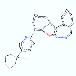 BC1(c2ccc(-c3cccc4c3oc3ncc5ccccc5c34)nc2)CCCCC1